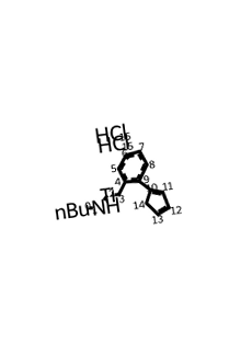 CCCC[NH][Ti][CH2]c1ccccc1C1=CC=CC1.Cl.Cl